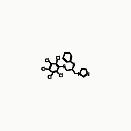 Clc1c(Cl)c(Cl)c(SCC(Cn2ccnc2)Sc2ccccc2)c(Cl)c1Cl